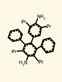 CC(C)c1cc(-c2c(-c3ccccc3)c(C(C)C)c(N)c(C(C)C)c2-c2ccccc2)cc(C(C)C)c1N